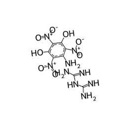 N=C(N)NC(=N)N.Nc1c([N+](=O)[O-])c(O)c([N+](=O)[O-])c(O)c1[N+](=O)[O-]